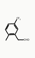 Cc1ccc(C(F)(F)F)cc1C[C]=O